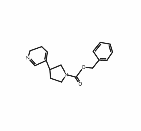 O=C(OCc1ccccc1)N1CCC(C2=CCCN=C2)C1